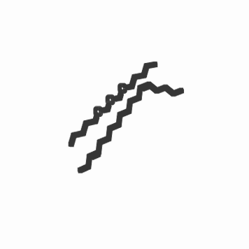 CC/C=C/CCCCCCCC/C=C\CCCC.CCCCCOCOCOCCCCC